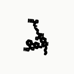 CCCCc1nc2ccc(C(=O)NCCCCCC(=O)O)cc2n1Cc1ccc(-c2ccccc2C(=O)O)cc1